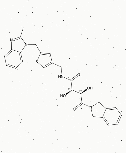 Cc1nc2ccccc2n1Cc1cc(CNC(=O)[C@H](O)[C@@H](O)C(=O)N2Cc3ccccc3C2)cs1